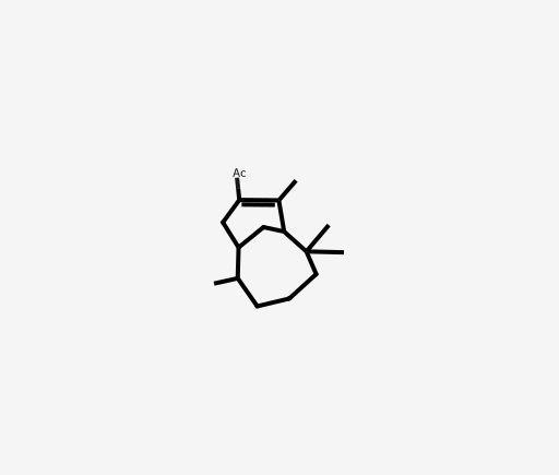 CC(=O)C1=C(C)C2CC(C1)C(C)CCCC2(C)C